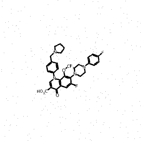 O=C(O)c1cn(-c2ccc(CN3CCCC3)cc2)c2c(OC(F)(F)F)c(N3CCN(c4ccc(F)cc4)CC3)c(F)cc2c1=O